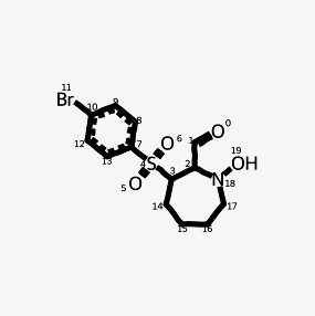 O=CC1C(S(=O)(=O)c2ccc(Br)cc2)CCCCN1O